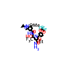 CCOc1c(C(N)=O)cc([C@](O)(CNC(=O)c2cc(OC)c3nn(C4CC4)cc3c2)C(F)(F)F)nc1-c1ccc2c(c1)OC(F)(F)C(F)(F)O2